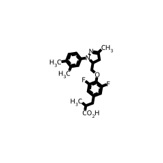 CC1=NN(c2ccc(C)c(C)c2)C(COc2c(F)cc(CC(C)C(=O)O)cc2F)C1